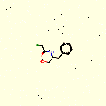 O=C(CCl)N[C@H](CO)Cc1ccccc1